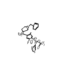 CCN(c1cc(F)c(S(=O)(=O)N(OC(=O)C(F)(F)F)c2cscn2)cc1C)[C@H]1CCN(Cc2ccccc2)C1